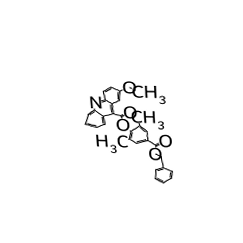 COc1ccc2nc3ccccc3c(C(=O)Oc3c(C)cc(C(=O)OCc4ccccc4)cc3C)c2c1